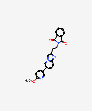 COc1ccc(-c2ccc3nc(CCN4C(=O)c5ccccc5C4=O)cn3c2)cn1